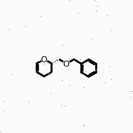 C1=CO[C@H](COCc2ccccc2)CC1